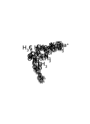 CCCCCS(=O)(=O)c1ccc([N+](=O)[O-])cc1[N+](=O)[O-].CCCN(CC)CC1COC2(CCC(C(C)(C)C)CC2)O1.CCCOc1nc2ccc(I)cc2c(=O)n1CCC.CC[S+]([O-])c1sc(C#N)c(Cl)c1C#N.Cc1cccc2sc3nncn3c12.O=C1CCc2cccc3c2N1CC3.[Na+].[O-]c1ccccc1-c1ccccc1